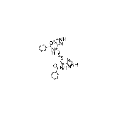 O=C(N[C@@H](CSSC[C@H](NC(=O)c1ccccc1)c1nc[nH]n1)c1nc[nH]n1)c1ccccc1